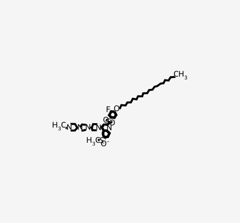 CCCCCCCCCCCCCCCCCCCCCCOc1ccc(S(=O)(=O)c2cc(N3CCC(N4CCN(C5CCN(CC)CC5)CC4)CC3)c3cc([S+](C)[O-])ccc3n2)cc1F